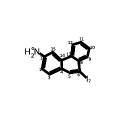 Nc1ccc2cc(I)c3ccccc3c2c1